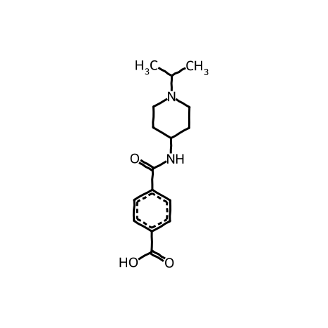 CC(C)N1CCC(NC(=O)c2ccc(C(=O)O)cc2)CC1